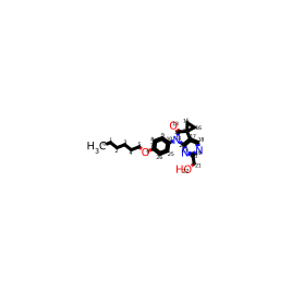 CCCCCCOc1ccc(N2C(=O)C3(CC3)c3cnc(CO)nc32)cc1